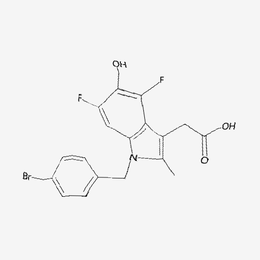 Cc1c(CC(=O)O)c2c(F)c(O)c(F)cc2n1Cc1ccc(Br)cc1